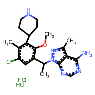 COc1c(C(C)n2nc(C)c3c(N)ncnc32)cc(Cl)c(C)c1C1CCNCC1.Cl.Cl